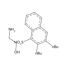 CCCCc1cc2ccccc2c(S(=O)(=O)O)c1CCCC.NCCO